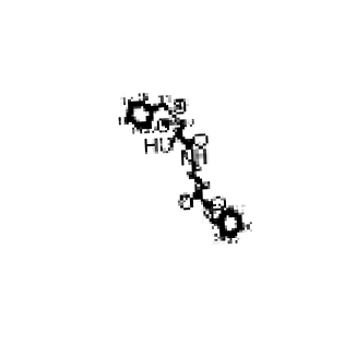 O=C(CCCNC(=O)[C@@H](O)CS(=O)(=O)Cc1ccccc1)c1nc2ccccc2o1